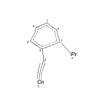 C#Cc1ccccc1C(C)C